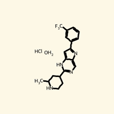 CC1CC(c2ncc3nc(-c4cccc(C(F)(F)F)c4)cc-3[nH]2)CCN1.Cl.O